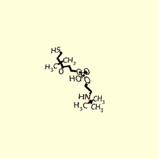 CC(C)(C)NCCOP(=O)(O)OCCC(=O)C(C)(C)CCS